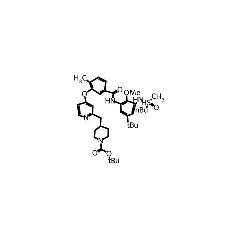 CCCC[SH](C)(=O)Nc1cc(C(C)(C)C)cc(NC(=O)c2ccc(C)c(Oc3ccnc(CC4CCN(C(=O)OC(C)(C)C)CC4)c3)c2)c1OC